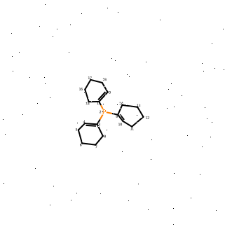 C1=C(P(C2=CCCCC2)C2=CCCCC2)CCCC1